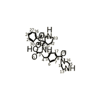 O=C(O)[C@H](Cc1ccc(C(=O)N2CCNCC2)cc1)NCC1(S(=O)(=O)c2ccccc2)CCCNC1